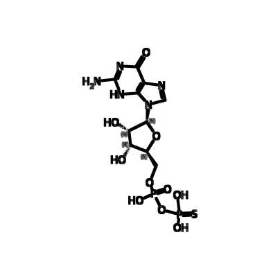 Nc1nc(=O)c2ncn([C@H]3O[C@@H](COP(=O)(O)OP(O)(O)=S)[C@H](O)[C@@H]3O)c2[nH]1